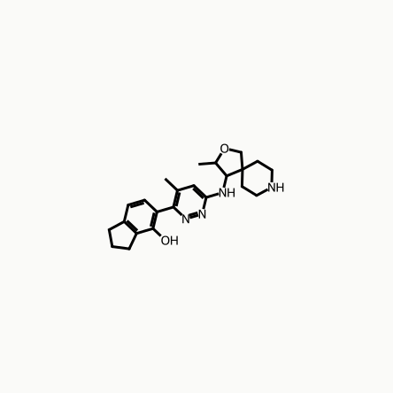 Cc1cc(NC2C(C)OCC23CCNCC3)nnc1-c1ccc2c(c1O)CCC2